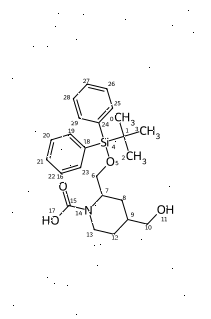 CC(C)(C)[Si](OCC1CC(CO)CCN1C(=O)O)(c1ccccc1)c1ccccc1